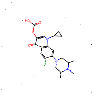 CC1CN(c2cc3c(cc2F)c(=O)c(OC(=O)O)cn3C2CC2)CC(C)N1C